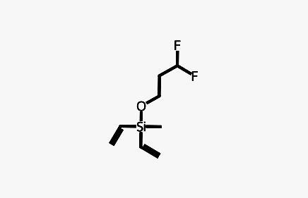 C=C[Si](C)(C=C)OCCC(F)F